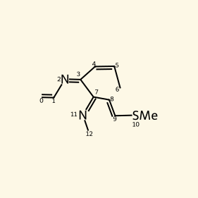 C=C/N=C(/C=C\C)C(\C=C\SC)=N\C